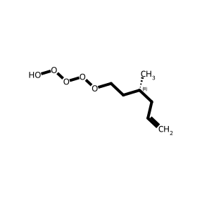 C=CC[C@@H](C)CCOOOOO